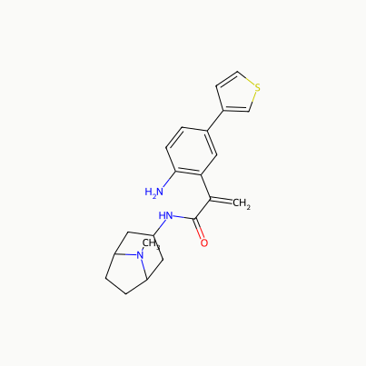 C=C(C(=O)NC1CC2CCC(C1)N2C)c1cc(-c2ccsc2)ccc1N